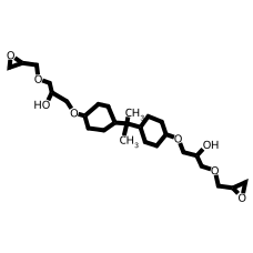 CC(C)(C1CCC(OCC(O)COCC2CO2)CC1)C1CCC(OCC(O)COCC2CO2)CC1